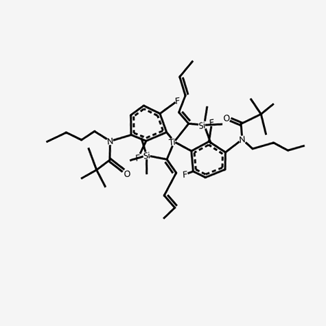 CC=CC=[C]([Si](C)(C)C)[Ti]([C](=CC=CC)[Si](C)(C)C)([c]1c(F)ccc(N(CCCC)C(=O)C(C)(C)C)c1F)[c]1c(F)ccc(N(CCCC)C(=O)C(C)(C)C)c1F